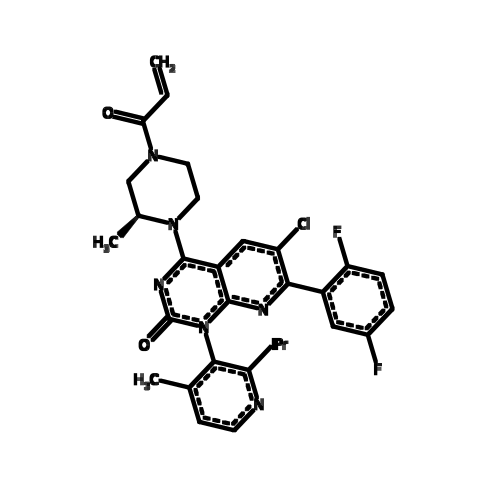 C=CC(=O)N1CCN(c2nc(=O)n(-c3c(C)ccnc3C(C)C)c3nc(-c4cc(F)ccc4F)c(Cl)cc23)[C@@H](C)C1